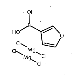 OB(O)c1ccoc1.[Cl][Mg][Cl].[Cl][Mg][Cl]